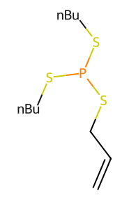 C=CCSP(SCCCC)SCCCC